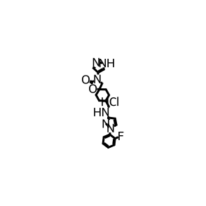 Cl.O=C1OC2(CCC(CNc3ccn(-c4ccccc4F)n3)CC2)CN1c1cn[nH]c1